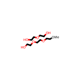 COCCOCCOCCO.OCCOCCO